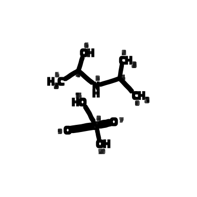 CC(C)NC(C)O.O=S(=O)(O)O